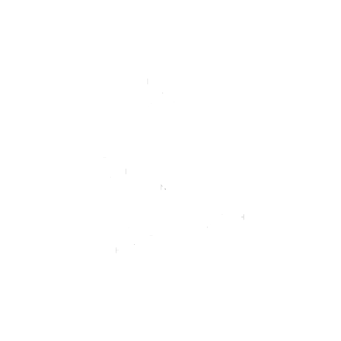 O=C(O)CC1CCN(Cc2cc(C(F)(F)F)ccc2C(F)(F)F)C(c2ccc(OC(F)(F)F)cc2)C1